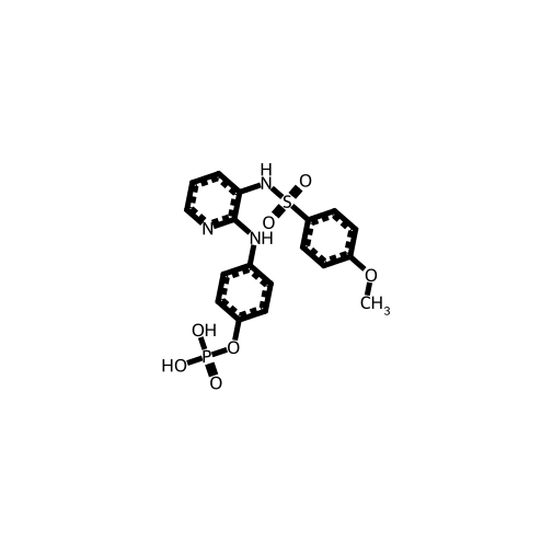 COc1ccc(S(=O)(=O)Nc2cccnc2Nc2ccc(OP(=O)(O)O)cc2)cc1